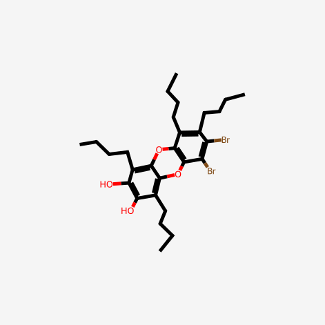 CCCCc1c(Br)c(Br)c2c(c1CCCC)Oc1c(CCCC)c(O)c(O)c(CCCC)c1O2